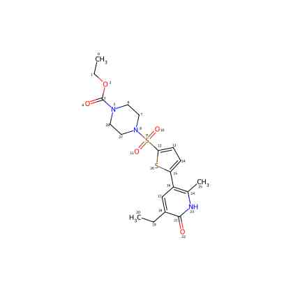 CCOC(=O)N1CCN(S(=O)(=O)c2ccc(-c3cc(CC)c(=O)[nH]c3C)s2)CC1